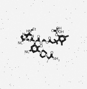 CCNc1nc(N(C(=O)OCOC(=O)CC(C)(C)c2c(C)cc(C)cc2OP(=O)(O)O)c2cc(C#N)cc(N3CCN([C@@H](C)C(N)=O)CC3)c2Cl)nn2c(C#N)cnc12